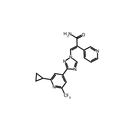 NC(=O)/C(=C/n1cnc(-c2cc(C3CC3)nc(C(F)(F)F)c2)n1)c1cccnc1